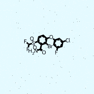 NC(=O)c1c(S(=O)(=O)C(F)F)ccc(Oc2cc(F)cc(Cl)c2)c1Br